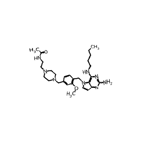 CCCCCNc1nc(N)nc2ccn(Cc3ccc(CN4CCN(CCNC(C)=O)CC4)cc3OC)c12